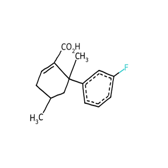 CC1CC=C(C(=O)O)C(C)(c2cccc(F)c2)C1